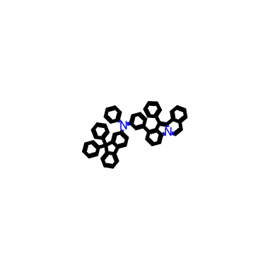 c1ccc(-c2c3c(-c4cccc(N(c5ccccc5)c5ccc6c(c5)C(c5ccccc5)(c5ccccc5)c5ccccc5-6)c4)cccc3n3ccc4ccccc4c23)cc1